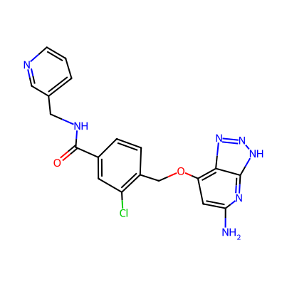 Nc1cc(OCc2ccc(C(=O)NCc3cccnc3)cc2Cl)c2nn[nH]c2n1